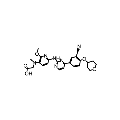 COc1nc(Nc2nccc(-c3ccc(OC4CCOCC4)c(C#N)c3)n2)ccc1N(C)CC(=O)O